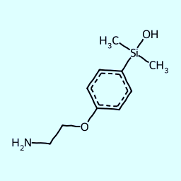 C[Si](C)(O)c1ccc(OCCN)cc1